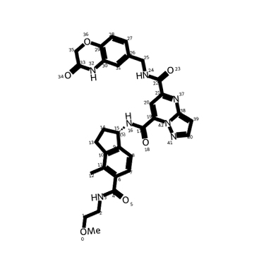 COCCNC(=O)c1ccc2c(c1C)CC[C@@H]2NC(=O)c1cc(C(=O)NCc2ccc3c(c2)NC(=O)CO3)nc2ccnn12